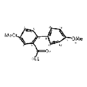 CCC(=O)c1cc(OC)ccc1-c1ccc(OC)cc1